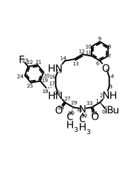 CCC(C)[C@@H]1NCCOc2ccccc2/C=C/CNC[C@@H](Cc2ccc(F)cc2)NC(=O)[C@@H](C)N(C)C1=O